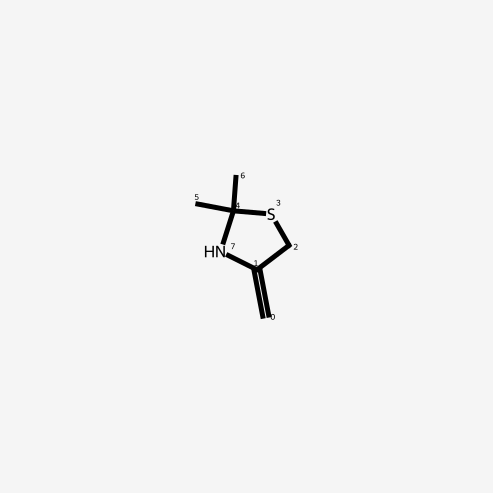 C=C1CSC(C)(C)N1